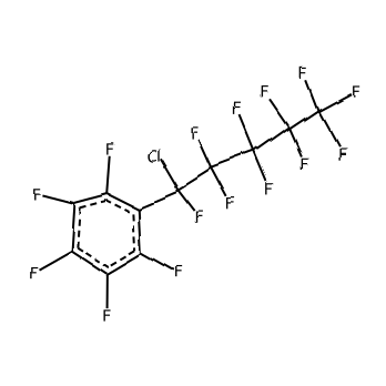 Fc1c(F)c(F)c(C(F)(Cl)C(F)(F)C(F)(F)C(F)(F)C(F)(F)F)c(F)c1F